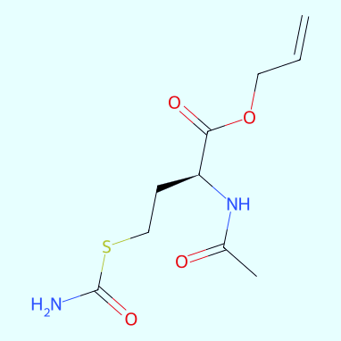 C=CCOC(=O)[C@H](CCSC(N)=O)NC(C)=O